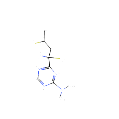 CCCCN(CCCC)c1ncnc(C(N)(S)CC(C)S)n1